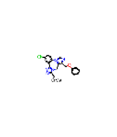 COCc1nnc2n1Cc1c(COc3ccccc3)ncn1-c1ccc(Cl)cc1-2